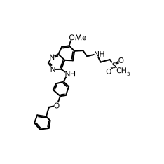 COc1cc2ncnc(Nc3ccc(OCc4ccccc4)cc3)c2cc1CCNCCS(C)(=O)=O